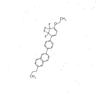 CCCc1ccc2cc(-c3ccc(C4=CC=C(OCC)C(F)(F)C4(F)F)cc3)ccc2c1